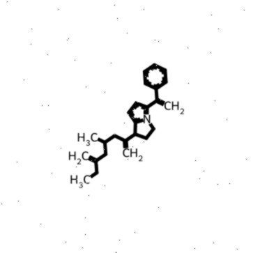 C=C(CC)CC(C)CC(=C)C1CCn2c(C(=C)c3ccccc3)ccc21